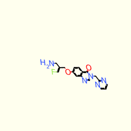 NCC(=CF)COc1ccc2c(=O)n(Cc3ncccn3)cnc2c1